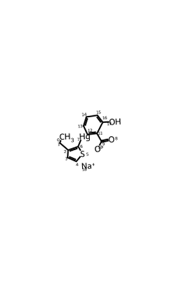 CCc1ccs[c]1[Hg].O=C([O-])c1ccccc1O.[Na+]